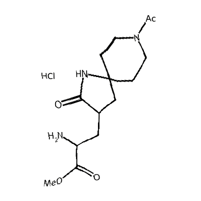 COC(=O)C(N)CC1CC2(CCN(C(C)=O)CC2)NC1=O.Cl